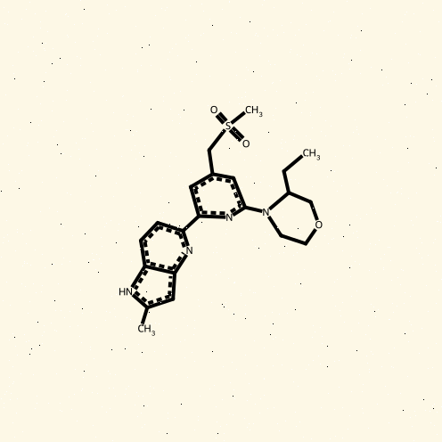 CCC1COCCN1c1cc(CS(C)(=O)=O)cc(-c2ccc3[nH]c(C)cc3n2)n1